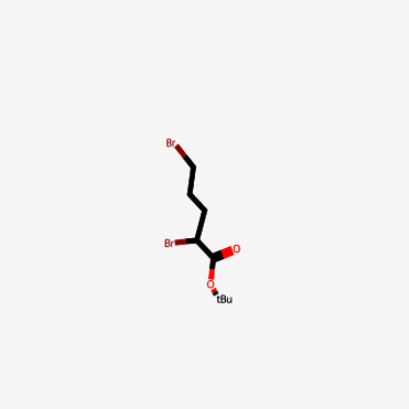 CC(C)(C)OC(=O)C(Br)CCCBr